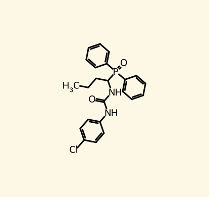 CCCC(NC(=O)Nc1ccc(Cl)cc1)P(=O)(c1ccccc1)c1ccccc1